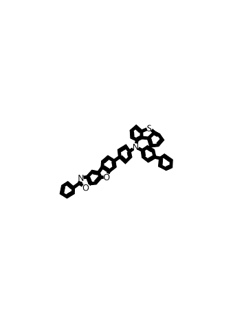 c1ccc(-c2ccc(N(c3ccc(-c4ccc5c(c4)oc4cc6oc(-c7ccccc7)nc6cc45)cc3)c3cccc4sc5ccccc5c34)cc2)cc1